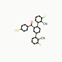 N#Cc1c(F)cccc1-c1ccc(-c2cccc(F)c2C#N)c(C(=O)c2ccc(S)cc2)c1